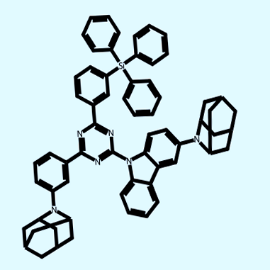 c1ccc([Si](c2ccccc2)(c2ccccc2)c2cccc(-c3nc(-c4cccc(N5C6CC7CC(C6)CC5C7)c4)nc(-n4c5ccccc5c5cc(N6C7CC8CC(C7)CC6C8)ccc54)n3)c2)cc1